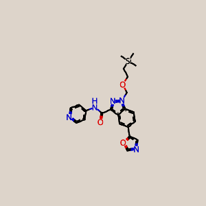 C[Si](C)(C)CCOCn1nc(C(=O)Nc2ccncc2)c2cc(-c3cnco3)ccc21